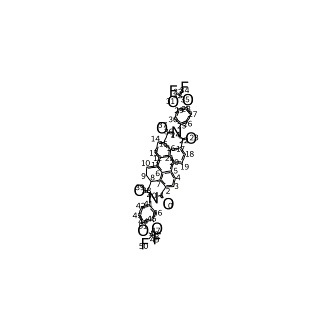 O=C1c2ccc3c4c2C(CC=c4c2ccc4c5c(ccc3c52)C(=O)N(c2ccc3c(c2)OC(F)(F)O3)C4=O)C(=O)N1c1ccc2c(c1)OC(F)(F)O2